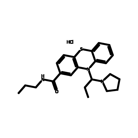 CCCNC(=O)c1ccc2c(c1)N(C(CC)N1CCCC1)c1ccccc1S2.Cl